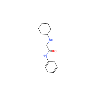 O=C(CNC1CCCCC1)NC1=CCC=CC1